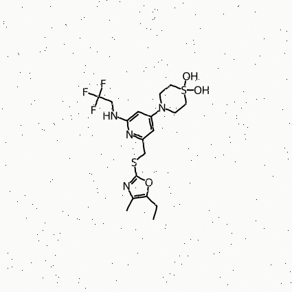 CCc1oc(SCc2cc(N3CCS(O)(O)CC3)cc(NCC(F)(F)F)n2)nc1C